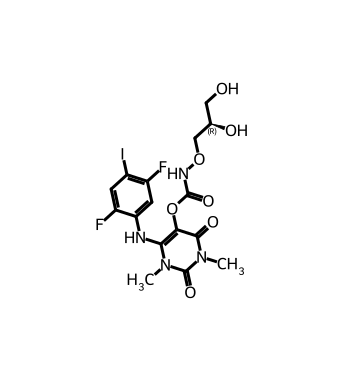 Cn1c(Nc2cc(F)c(I)cc2F)c(OC(=O)NOC[C@H](O)CO)c(=O)n(C)c1=O